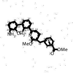 COC(=O)C12CCC(CC1)N(Cc1ccc(-c3cccc(-c4cccc(N)c4C)c3Cl)nc1OC)C2